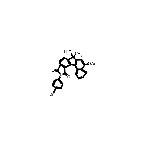 CC(=O)Oc1cc2c(c3ccccc13)-c1c(ccc3c1C(=O)N(c1ccc(Br)cc1)C3=O)C2(C)C